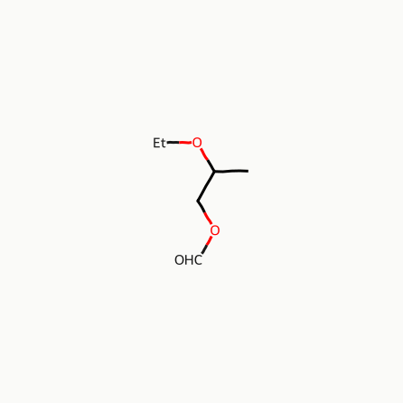 CCOC(C)COC=O